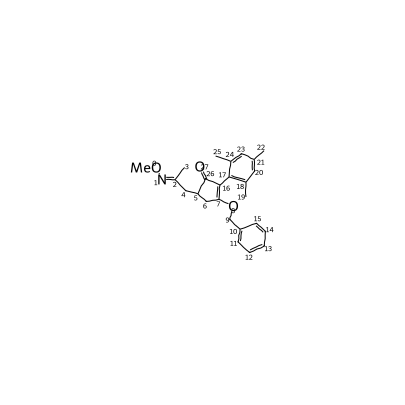 CO/N=C(\C)CC1CC(OCc2ccccc2)=C(c2c(C)cc(C)cc2C)C1=O